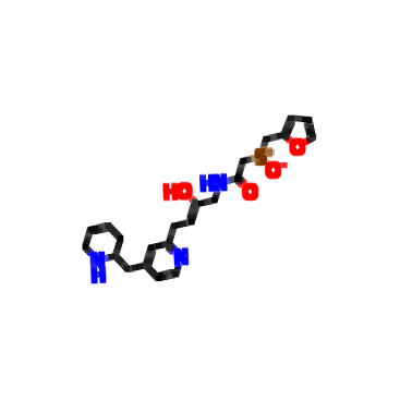 O=C(C[S+]([O-])Cc1ccco1)NCC(O)=CCc1cc(CC2CC=CCN2)ccn1